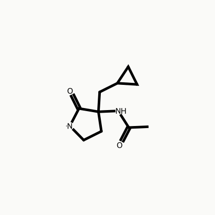 CC(=O)NC1(CC2CC2)CC[N]C1=O